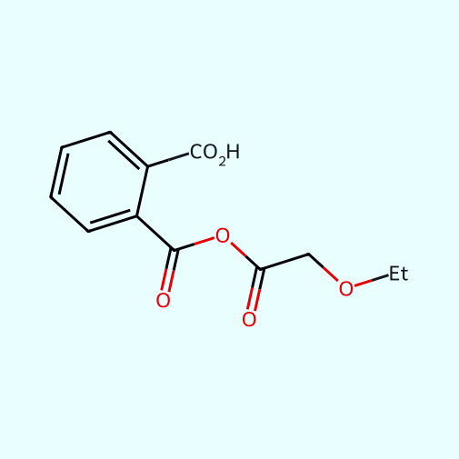 CCOCC(=O)OC(=O)c1ccccc1C(=O)O